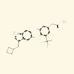 Cc1cc(CC(=O)O)cc(C(F)(F)F)c1Oc1ccc2[nH]cc(CC3CCC3)c2c1